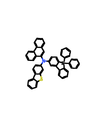 c1ccc([Si]2(c3ccccc3)c3ccccc3-c3cc(N(c4ccc5c(c4)sc4ccccc45)c4cc5ccccc5c5ccccc45)ccc32)cc1